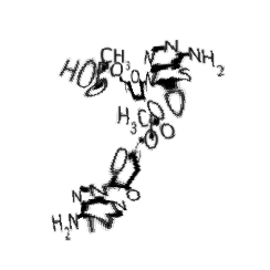 CP(=O)(O)OC[C@@H]1CC(OP(C)(=O)OC[C@@H]2CC(=O)[C@H](n3cnc4c(N)ncnc43)O2)[C@H](n2c(=O)sc3c(N)ncnc32)O1